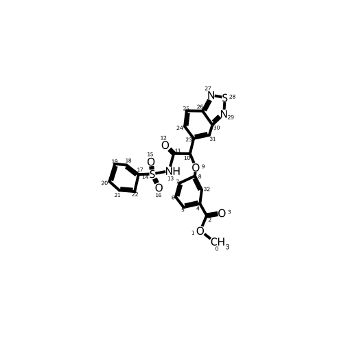 COC(=O)c1cccc(OC(C(=O)NS(=O)(=O)c2ccccc2)c2ccc3nsnc3c2)c1